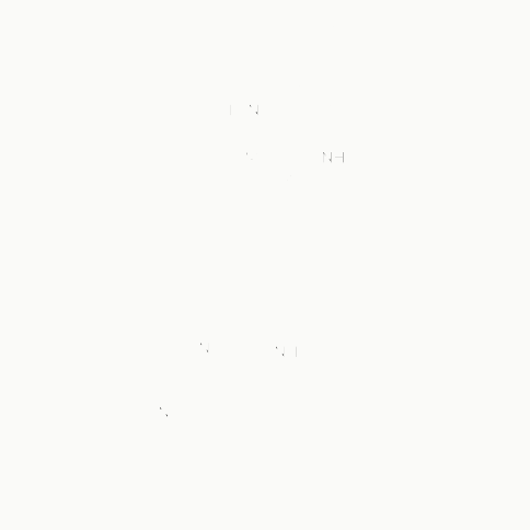 Nc1ccccc1NC(=O)c1ccc(Nc2ncnc3ccccc23)cc1